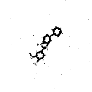 COc1cc(-c2nc3cc(-c4cc[c]cc4)ccc3[nH]2)ccc1O